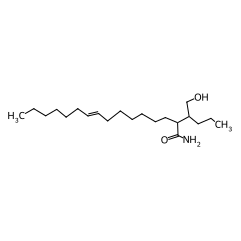 CCCCCCC=CCCCCCCC(C(N)=O)C(CO)CCC